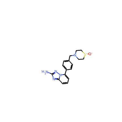 Nc1nc2cccc(-c3ccc(CN4CC[S+]([O-])CC4)cc3)n2n1